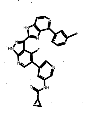 O=C(Nc1cncc(-c2cnc3[nH]nc(-c4nc5c(-c6cccc(F)c6)nccc5[nH]4)c3c2F)c1)C1CC1